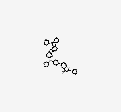 O=c1cc(-c2ccccc2)oc2ccc(-c3ccc(N(c4ccccc4)c4ccc5sc6c(ccc7c8ccccc8n(-c8ccccc8)c76)c5c4)cc3)cc12